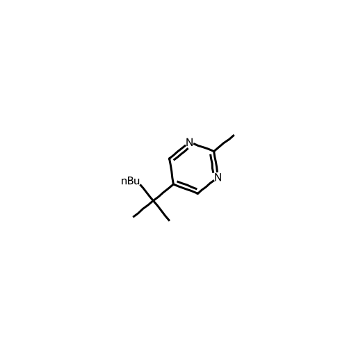 CCCCC(C)(C)c1cnc(C)nc1